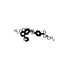 CCOC(=O)c1ccc(N=Nc2ccc3c(c2)C(c2cccs2)=CCC3(C)C)cc1